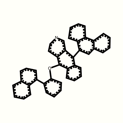 c1ccc(-c2cccc3ccccc23)c(Oc2c3ccccc3c(-c3cc4ccccc4c4ccccc34)c3cnccc23)c1